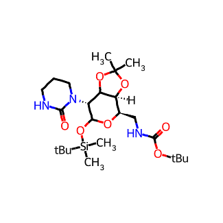 CC(C)(C)OC(=O)NC[C@H]1OC(O[Si](C)(C)C(C)(C)C)[C@H](N2CCCNC2=O)C2OC(C)(C)O[C@H]21